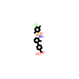 Cc1cc(S(=O)(=O)Nc2cccc(-c3ccc(C(=O)O)cc3)c2C)c(C)cc1Cl